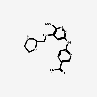 COc1nnc(Nc2cnc(C(N)=O)cn2)cc1NCC1CNCCO1